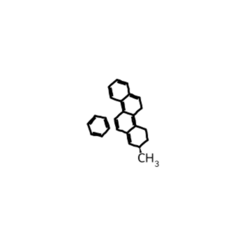 C[C@H]1C=c2ccc3c(c2CC1)CC=c1ccccc1=3.c1ccccc1